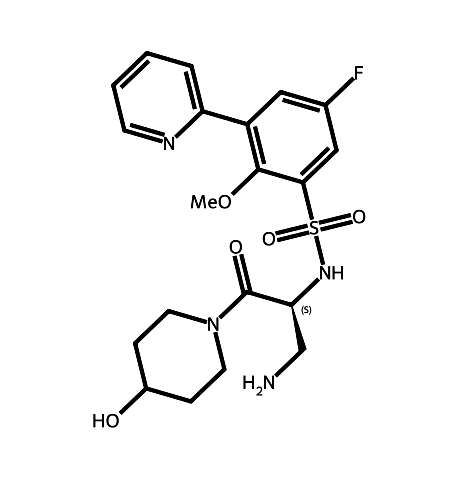 COc1c(-c2ccccn2)cc(F)cc1S(=O)(=O)N[C@@H](CN)C(=O)N1CCC(O)CC1